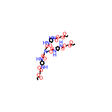 C=CC(=O)OCCOC(=O)Nc1ccc(NC(=O)OCCN(CCOC(=O)Nc2ccc(NC(=O)OCCOC(=O)C=C)cc2)CCOC(=O)Nc2ccc(NC(=O)OCCOC(=O)C=C)cc2)cc1